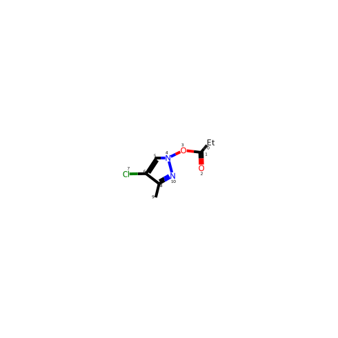 CCC(=O)On1cc(Cl)c(C)n1